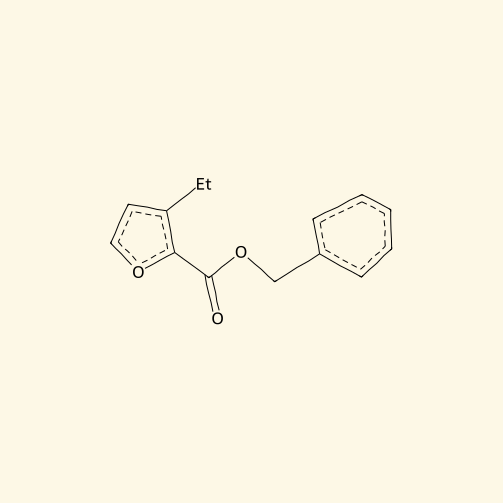 CCc1ccoc1C(=O)OCc1ccccc1